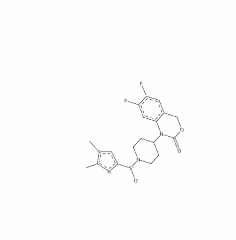 Cc1nc([S+]([O-])N2CCC(N3C(=O)OCc4cc(F)c(F)cc43)CC2)cn1C